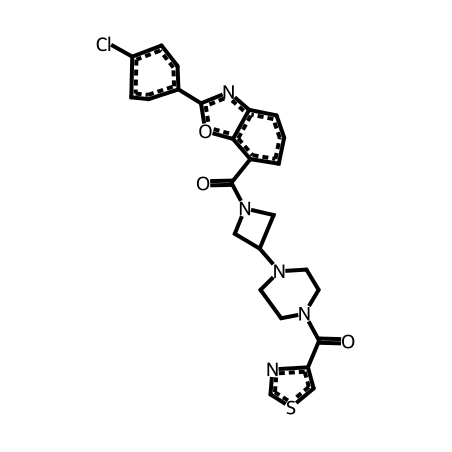 O=C(c1cscn1)N1CCN(C2CN(C(=O)c3cccc4nc(-c5ccc(Cl)cc5)oc34)C2)CC1